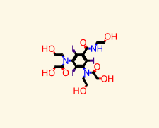 O=C(NCCO)c1c(I)c(N(CCO)C(=O)CO)c(I)c(N(CCO)C(=O)CO)c1I